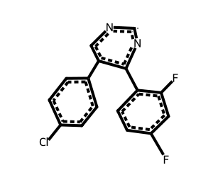 Fc1ccc(-c2n[c]ncc2-c2ccc(Cl)cc2)c(F)c1